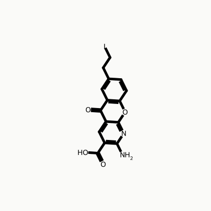 Nc1nc2oc3ccc(CCI)cc3c(=O)c2cc1C(=O)O